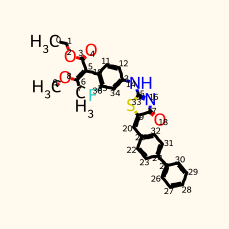 CCOC(=O)/C(=C(/C)OC)c1ccc(NC2=NC(=O)/C(=C\c3ccc(-c4ccccc4)cc3)S2)cc1F